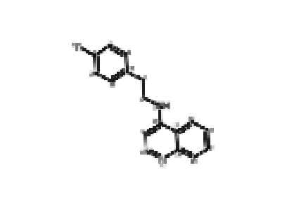 Fc1ccc(CCNc2ccnc3ccccc23)cc1